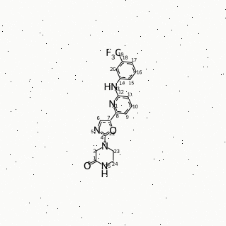 O=C1CN(c2ncc(-c3cccc(Nc4cccc(C(F)(F)F)c4)n3)o2)CCN1